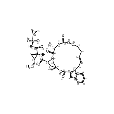 C=C[C@@H]1C[C@]1(NC(=O)[C@@H]1C[C@@H]2CN1C(=O)[C@H](C(C)C)NC(=O)OCCC/C=C/Cn1c(cc3ccccc31)C(=O)O2)C(=O)NS(=O)(=O)C1CC1